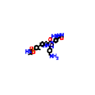 Cc1cc(S(=O)(=O)NC(C)C)ccc1-c1ccc(C[C@H](NC(=O)C2CCC(CN)CC2)C(=O)Nc2ccc3c(=O)[nH][nH]c3c2)cc1